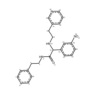 O=C(NCCc1ccncc1)C(NCCc1cccnc1)c1cccc([N+](=O)[O-])c1